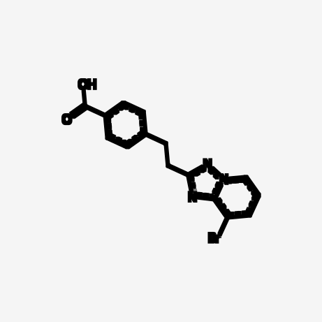 O=C(O)c1ccc(CCc2nc3c(Br)cccn3n2)cc1